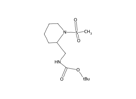 CC(C)(C)OC(=O)NCC1CCCCN1S(C)(=O)=O